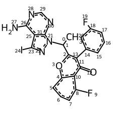 CC(c1oc2cccc(F)c2c(=O)c1-c1cccc(F)c1)n1nc(I)c2c(N)ncnc21